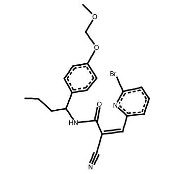 CCCC(NC(=O)C(C#N)=Cc1cccc(Br)n1)c1ccc(OCOC)cc1